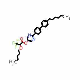 CCCCCCc1ccc(-c2ccc(-c3ncc(OC(=O)C(OCCCCC)C(F)(F)F)cn3)cc2)cc1